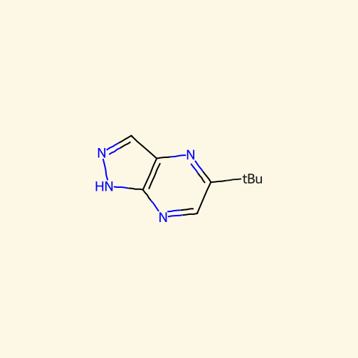 CC(C)(C)c1cnc2[nH]ncc2n1